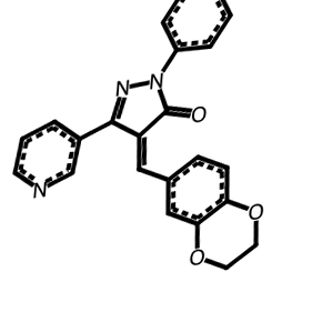 O=C1/C(=C\c2ccc3c(c2)OCCO3)C(c2cccnc2)=NN1c1ccccc1